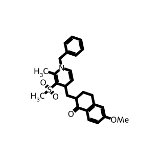 COc1ccc2c(c1)CCC(CC1C=CN(Cc3ccccc3)C(C)=C1S(C)(=O)=O)C2=O